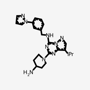 CC(C)c1cnn2c(NCc3cccc(-n4cccn4)c3)nc(N3CCC(N)CC3)nc12